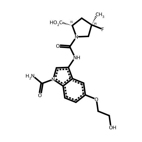 C[C@@]1(F)C[C@@H](C(=O)O)N(C(=O)Nc2cn(C(N)=O)c3ccc(OCCO)cc23)C1